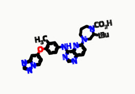 Cc1cc(Nc2ncnc3ccc(N4CCCN(C(=O)O)C(C(C)(C)C)C4)nc23)ccc1Oc1ccn2ncnc2c1